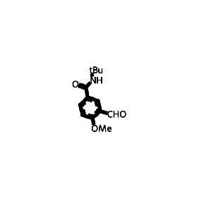 COc1ccc(C(=O)NC(C)(C)C)cc1C=O